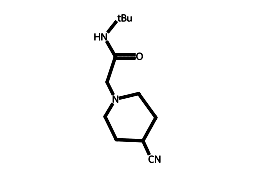 CC(C)(C)NC(=O)CN1CCC(C#N)CC1